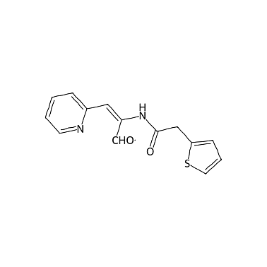 O=[C]/C(=C\c1ccccn1)NC(=O)Cc1cccs1